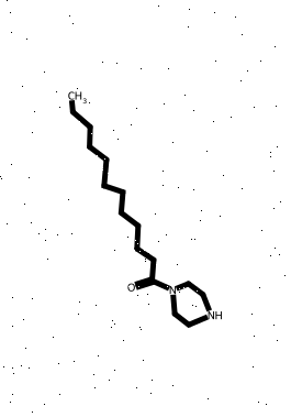 CCCCCCCCCCCC(=O)N1CCNCC1